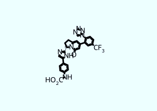 O=C(O)Nc1ccc(-c2cnc([C@@H]3CCc4cc(-c5cc(C(F)(F)F)ccc5-n5cnnn5)cc(=O)n43)[nH]2)cc1